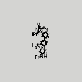 CCNC1CCN(c2ccc(-c3ccc4ncc5c(C)nc(C(C)C)n5c4c3)cc2C(F)(F)F)CC1